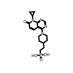 O=c1ccc2c(N3CCC(CCP(=O)(O)O)CC3)ncnc2n1C1CC1